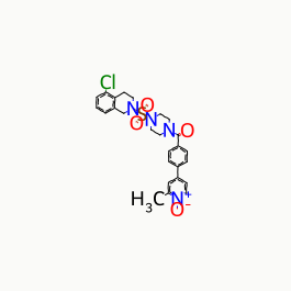 Cc1cc(-c2ccc(C(=O)N3CCN(S(=O)(=O)N4CCc5c(Cl)cccc5C4)CC3)cc2)cc[n+]1[O-]